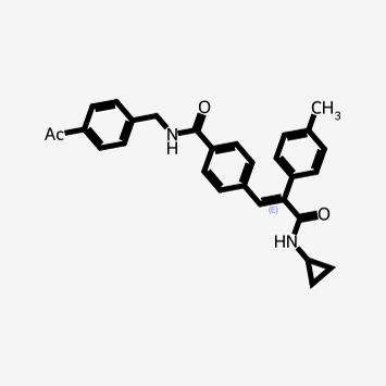 CC(=O)c1ccc(CNC(=O)c2ccc(/C=C(/C(=O)NC3CC3)c3ccc(C)cc3)cc2)cc1